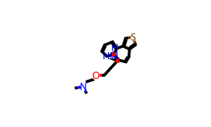 CN(C)CCOCC1C=C2C=Cc3cscc3C3=CC=CCC23NN1